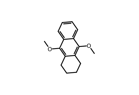 COc1c2c(c(OC)c3ccccc13)CCCC2